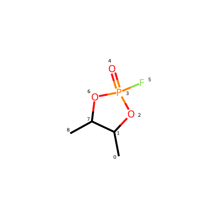 CC1OP(=O)(F)OC1C